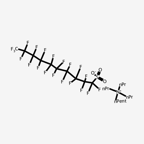 CCCCC[N+](CCC)(CCC)CCC.O=S(=O)([O-])C(F)(F)C(F)(F)C(F)(F)C(F)(F)C(F)(F)C(F)(F)C(F)(F)C(F)(F)C(F)(F)C(F)(F)F